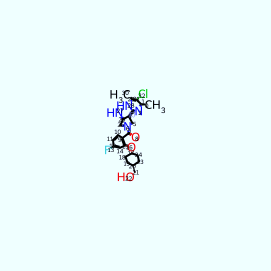 CC1=N/C(=C2\CN(C(=O)c3ccc(F)cc3O[C@H]3CC[C@H](CO)CC3)CC2=N)NC(C)=C1Cl